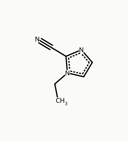 CCn1ccnc1C#N